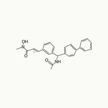 CC(=O)NC(c1ccc(-c2ccccc2)cc1)c1cccc(/C=C/C(=O)N(C)O)c1